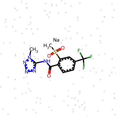 Cn1nnnc1NC(=O)c1ccc(C(F)(F)F)cc1S(C)(=O)=O.[Na]